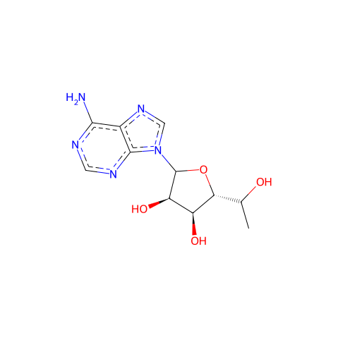 CC(O)[C@H]1OC(n2cnc3c(N)ncnc32)[C@H](O)[C@@H]1O